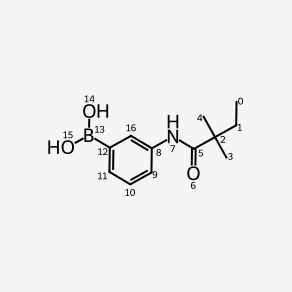 CCC(C)(C)C(=O)Nc1cccc(B(O)O)c1